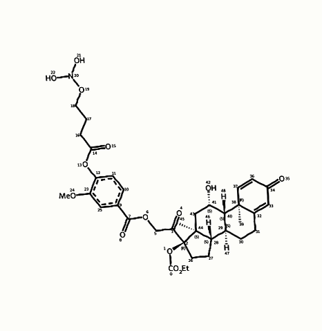 CCOC(=O)O[C@]1(C(=O)COC(=O)c2ccc(OC(=O)CCCON(O)O)c(OC)c2)CC[C@H]2[C@@H]3CCC4=CC(=O)C=C[C@]4(C)[C@H]3[C@@H](O)C[C@@]21C